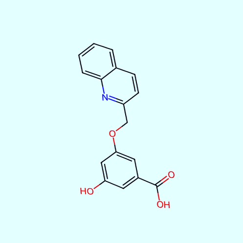 O=C(O)c1cc(O)cc(OCc2ccc3ccccc3n2)c1